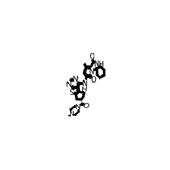 Cc1cc(Nc2ncnc3sc4c(c23)CC[C@H](C(=O)N2CCN(C)CC2)C4)c(=O)n2c1C(=O)NC21CCCCC1